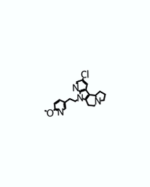 COc1ccc(CCn2c3c(c4cc(Cl)cnc42)C2CCCN2CC3)cn1